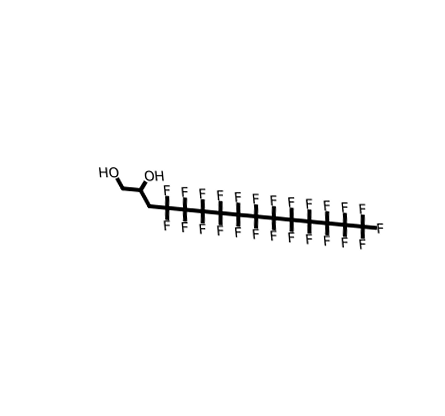 OCC(O)CC(F)(F)C(F)(F)C(F)(F)C(F)(F)C(F)(F)C(F)(F)C(F)(F)C(F)(F)C(F)(F)C(F)(F)C(F)(F)C(F)(F)F